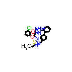 CCc1nn(Cc2ccc(-c3ccccc3-c3nnn[nH]3)cc2)c(=NC(=O)COc2ccccc2Cl)s1